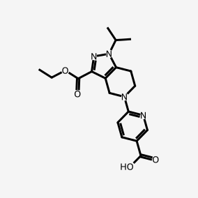 CCOC(=O)c1nn(C(C)C)c2c1CN(c1ccc(C(=O)O)cn1)CC2